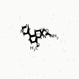 COc1ccc(-c2cncnc2)c2c1CC1(CC2)COC(N)=N1